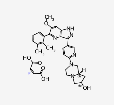 COc1cc2[nH]nc(-c3ccc(N4CCN5C[C@H](O)C[C@H]5C4)nc3)c2nc1-c1cccc(C)c1C.O=C(O)/C=C\C(=O)O